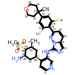 C[C@H]1C[C@@H](c2ccncc2Nc2ncc3ccc(-c4c(F)cc(C5(C#N)CCOCC5)cc4F)nn23)C[C@@H](N)[C@H]1S(C)(=O)=O